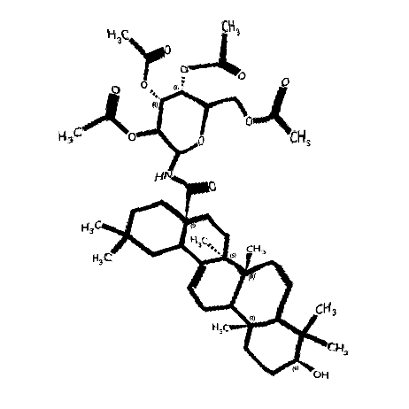 CC(=O)OCC1OC(NC(=O)[C@]23CCC(C)(C)CC2C2=CCC4[C@@]5(C)CC[C@H](O)C(C)(C)C5CC[C@@]4(C)[C@]2(C)CC3)C(OC(C)=O)[C@H](OC(C)=O)[C@@H]1OC(C)=O